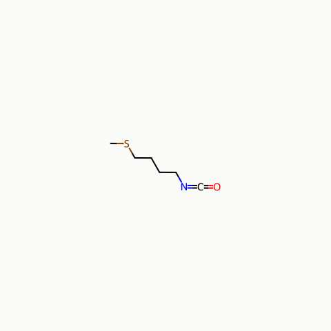 CSCCCCN=C=O